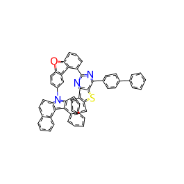 c1ccc(-c2ccc(-c3nc(-c4cccc5oc6ccc(-n7c8ccc9ccccc9c8c8c9ccccc9ccc87)cc6c45)nc4c3sc3ccccc34)cc2)cc1